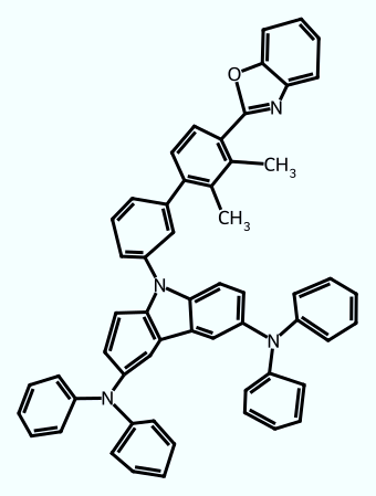 Cc1c(-c2cccc(-n3c4ccc(N(c5ccccc5)c5ccccc5)cc4c4cc(N(c5ccccc5)c5ccccc5)ccc43)c2)ccc(-c2nc3ccccc3o2)c1C